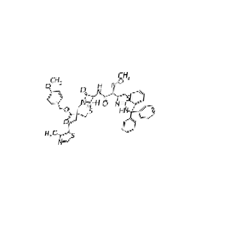 CON=C(C(=O)NC1C(=O)N2CC(C=Cc3scnc3C)(C(=O)OCc3ccc(OC)cc3)CS[C@H]12)c1csc(NC(c2ccccc2)(c2ccccc2)c2ccccc2)n1